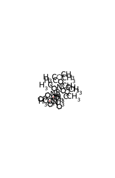 Cc1cc2c3c(c1)N(c1ccc4c(oc5ccccc54)c1C(C)(C)C)c1cc(N(c4ccccc4)c4ccccc4)ccc1B3c1cc3c(cc1N2c1cc2c(cc1C)C(C)(C)CCC2(C)C)C(C)(C)CC3(C)C